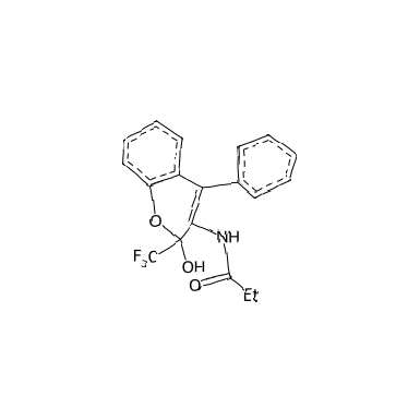 CCC(=O)NC1=C(c2ccccc2)c2ccccc2OC1(O)C(F)(F)F